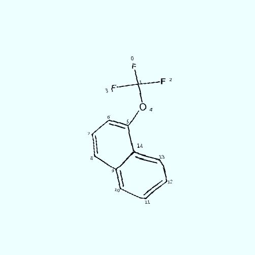 FC(F)(F)Oc1cccc2ccccc12